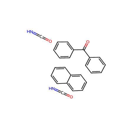 N=C=O.N=C=O.O=C(c1ccccc1)c1ccccc1.c1ccc2ccccc2c1